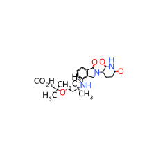 CC(C)(CCOC(C)(C)CC(=O)O)Nc1cccc2c1CN(C1CCC(=O)NC1=O)C2=O